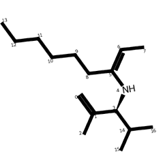 C=C(C)[C@@H](N/C(=C\C)CCCCCC)C(C)C